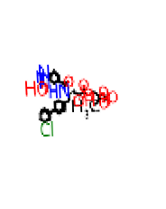 Cc1oc(=O)oc1COC(=O)[C@H](O)C[C@@H](Cc1ccc(-c2cccc(Cl)c2)cc1)NC(=O)c1ccc2nnn(O)c2c1